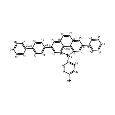 Fc1ccc(-n2c3cc(-c4ccccc4)cc4ccc5cc(-c6ccc(-c7ccccc7)cc6)cc2c5c43)cc1